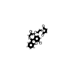 O=C1C=CC(=O)N1CCON1C(=O)CN=C(c2ccccc2Cl)c2cc(Cl)ccc21